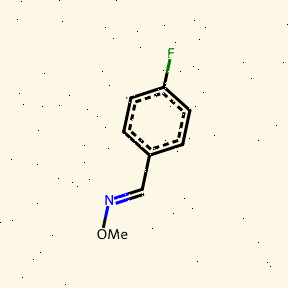 CON=Cc1c[c]c(F)cc1